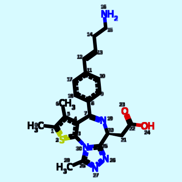 Cc1sc2c(c1C)C(c1ccc(C=CCCN)cc1)=N[C@@H](CC(=O)O)c1nnc(C)n1-2